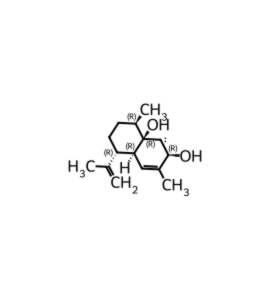 C=C(C)[C@@H]1CC[C@@H](C)[C@]2(O)[C][C@@H](O)C(C)=C[C@@H]12